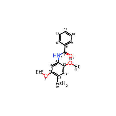 CCOc1cc(NC(=O)c2ccccc2)c(OCC)cc1[AsH2]